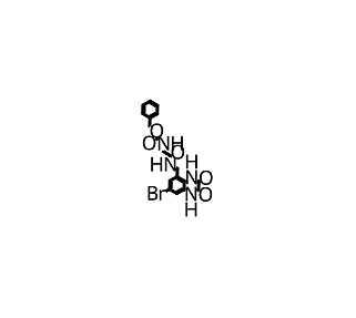 O=C(CNC(=O)OCc1ccccc1)NCc1cc(Br)cc2[nH]c(=O)c(=O)[nH]c12